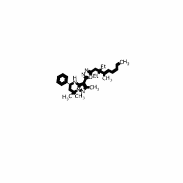 C=C/C=C\C=C(/C)C(CC)(CC)Cc1nnc(-c2c(C)nn3c2N[C@@H](c2ccccc2)CC3(C)C)o1